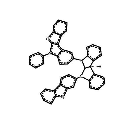 c1ccc(-n2c3ccc(N4c5ccccc5[C@H]5c6ccccc6N(c6ccc7c(c6)sc6ccccc67)C54)cc3c3c4ccccc4oc32)cc1